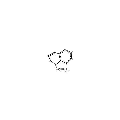 C1=Cc2ccccc2OC1.C=O